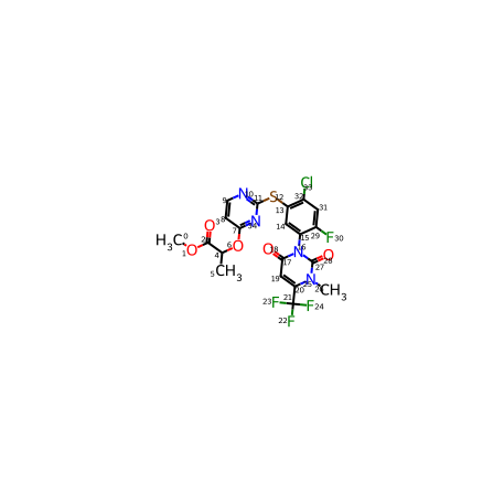 COC(=O)C(C)Oc1ccnc(Sc2cc(-n3c(=O)cc(C(F)(F)F)n(C)c3=O)c(F)cc2Cl)n1